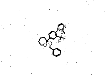 Cc1nccn1-c1ccc(C2(OCc3ccccc3)CCCCO2)cc1C(F)(F)F